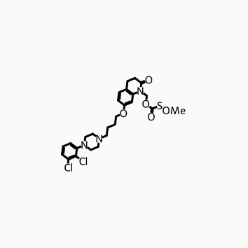 COSC(=O)OCN1C(=O)CCc2ccc(OCCCCN3CCN(c4cccc(Cl)c4Cl)CC3)cc21